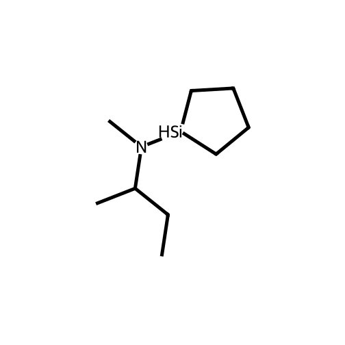 CCC(C)N(C)[SiH]1CCCC1